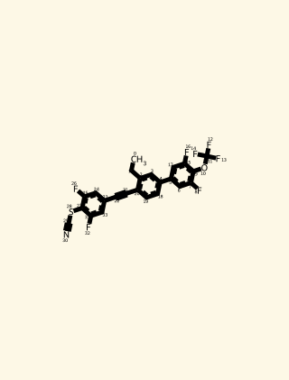 CCc1cc(-c2cc(F)c(OC(F)(F)F)c(F)c2)ccc1C#Cc1cc(F)c(SC#N)c(F)c1